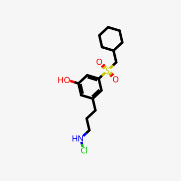 O=S(=O)(CC1CCCCC1)c1cc(O)cc(CCCNCl)c1